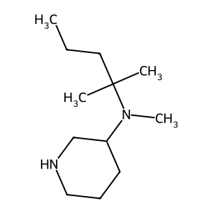 CCCC(C)(C)N(C)C1CCCNC1